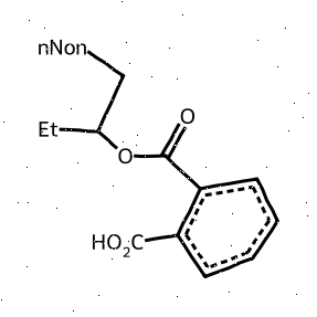 CCCCCCCCCCC(CC)OC(=O)c1ccccc1C(=O)O